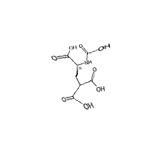 O=C(O)N[C@@H](CC(C(=O)O)C(=O)O)C(=O)O